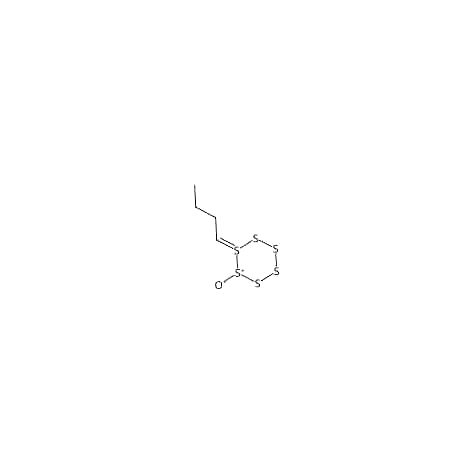 CCCC=S1SSSS[S+]1[O-]